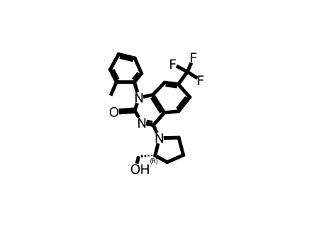 Cc1ccccc1-n1c(=O)nc(N2CCC[C@@H]2CO)c2ccc(C(F)(F)F)cc21